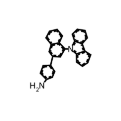 Nc1ccc(-c2cc(-n3c4ccccc4c4ccccc43)c3ccccc3c2)cc1